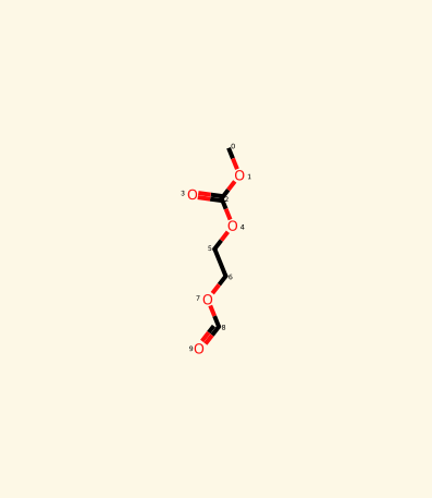 COC(=O)OCCOC=O